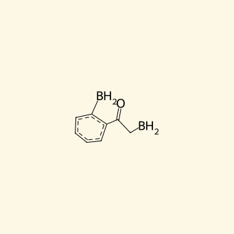 BCC(=O)c1ccccc1B